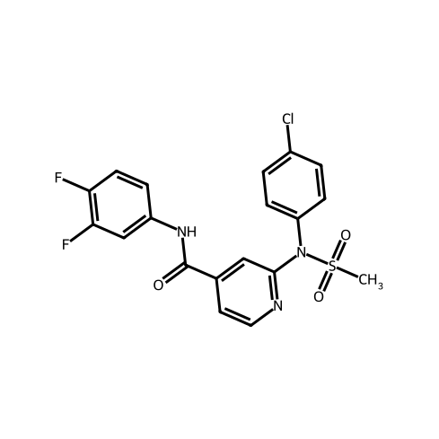 CS(=O)(=O)N(c1ccc(Cl)cc1)c1cc(C(=O)Nc2ccc(F)c(F)c2)ccn1